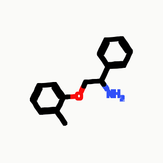 Cc1ccccc1OCC(N)c1ccccc1